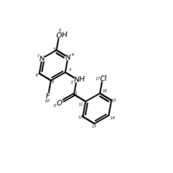 O=C(Nc1nc(O)ncc1F)c1ccccc1Cl